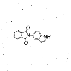 O=C1c2ccccc2C(=O)N1c1ccc2[nH]ccc2c1